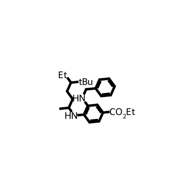 CCOC(=O)c1ccc(NC(C)CCC(CC)C(C)(C)C)c(NCc2ccccc2)c1